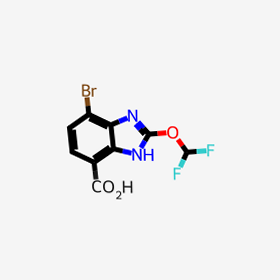 O=C(O)c1ccc(Br)c2nc(OC(F)F)[nH]c12